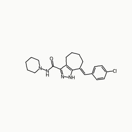 O=C(NN1CCCCC1)c1n[nH]c2c1CCCCC2=Cc1ccc(Cl)cc1